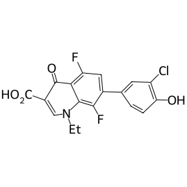 CCn1cc(C(=O)O)c(=O)c2c(F)cc(-c3ccc(O)c(Cl)c3)c(F)c21